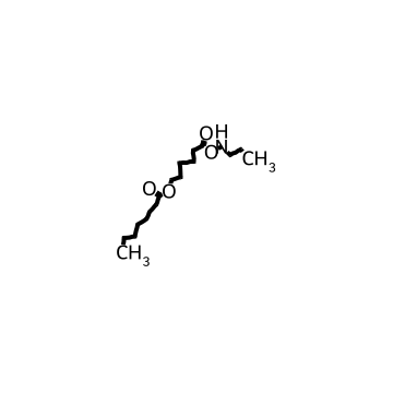 CCCCCCCC(=O)OCCCCCC(=O)ONCCC